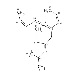 C=C/C(=C\C(C)C)CC(=C=C/C=C\C)/C=C\C